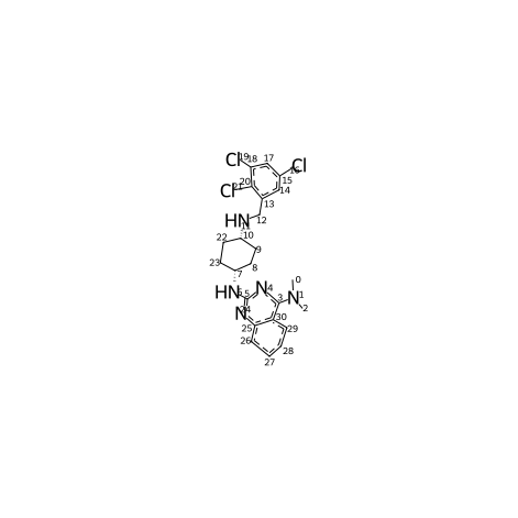 CN(C)c1nc(N[C@H]2CC[C@@H](NCc3cc(Cl)cc(Cl)c3Cl)CC2)nc2ccccc12